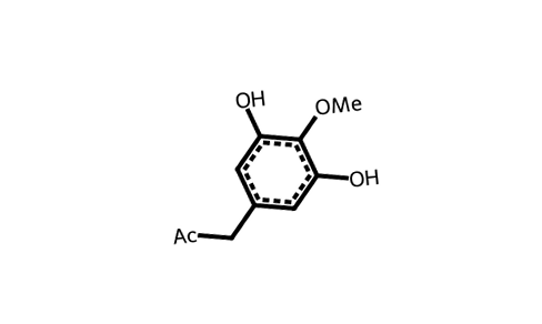 COc1c(O)cc(CC(C)=O)cc1O